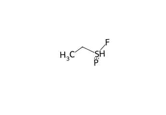 CC[SH](F)#P